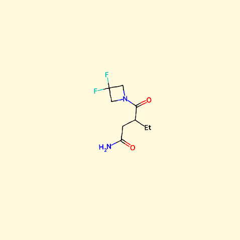 CCC(CC(N)=O)C(=O)N1CC(F)(F)C1